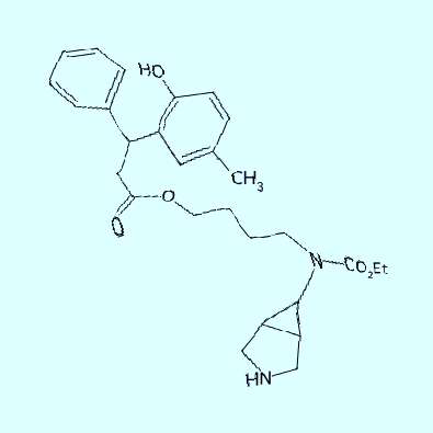 CCOC(=O)N(CCCCOC(=O)CC(c1ccccc1)c1cc(C)ccc1O)C1C2CNCC21